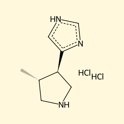 C[C@H]1CNC[C@@H]1c1c[nH]cn1.Cl.Cl